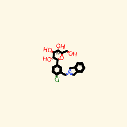 OCC1OC(c2ccc(Cl)c(CN3Cc4ccccc4C3)c2)[C@H](O)C(O)[C@@H]1O